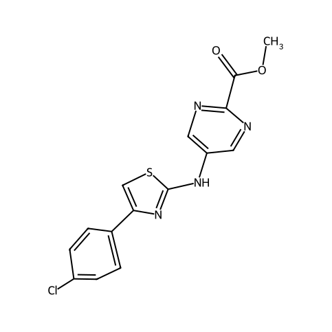 COC(=O)c1ncc(Nc2nc(-c3ccc(Cl)cc3)cs2)cn1